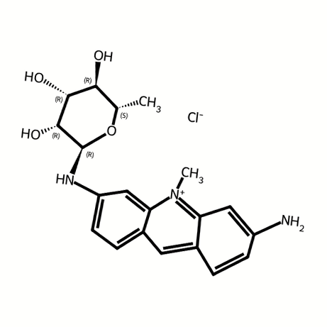 C[C@@H]1O[C@@H](Nc2ccc3cc4ccc(N)cc4[n+](C)c3c2)[C@H](O)[C@H](O)[C@H]1O.[Cl-]